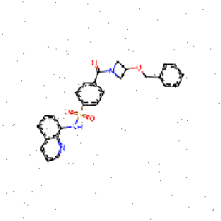 O=C(c1ccc(S(=O)(=O)Nc2cccc3cccnc23)cc1)N1CC(OCc2ccccc2)C1